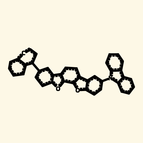 c1ccc2c(-c3ccc4oc5c(ccc6c7cc(-n8c9ccccc9c9ccccc98)ccc7oc65)c4c3)cccc2c1